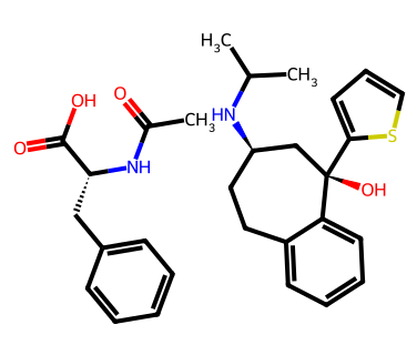 CC(=O)N[C@H](Cc1ccccc1)C(=O)O.CC(C)N[C@@H]1CCc2ccccc2[C@@](O)(c2cccs2)C1